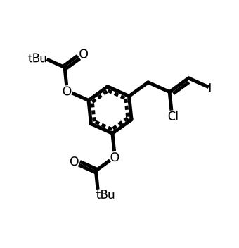 CC(C)(C)C(=O)Oc1cc(C/C(Cl)=C/I)cc(OC(=O)C(C)(C)C)c1